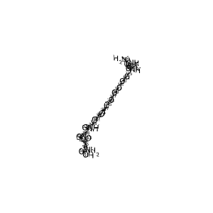 CC(NC(=O)C(NC(=O)CCOCCOCCOCCOCCOCCOCCOCCOCCNC(=O)CCN1C(=O)CC(SCC(N)C(=O)O)C1=O)C(C)C)C(N)=O